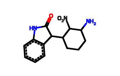 NC1CCCC(C2C(=O)Nc3ccccc32)C1[N+](=O)[O-]